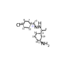 C=C(N/N=C(\C)C1=C=C=C(Cl)C=C1)c1cccc(N)c1